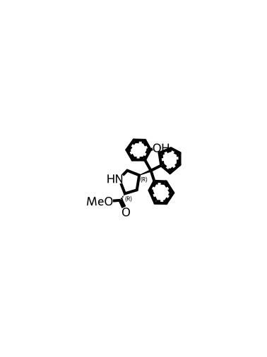 COC(=O)[C@H]1C[C@H](C(c2ccccc2)(c2ccccc2)c2ccccc2O)CN1